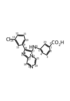 O=C(O)c1cccc(Nc2c(-c3cccc(Cl)c3)nc3cnccn23)c1